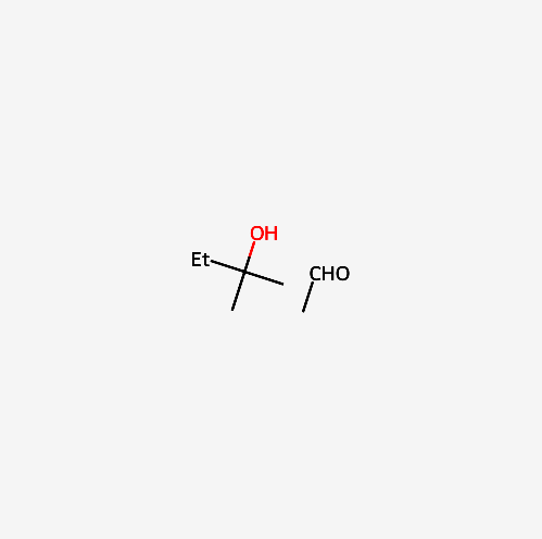 CC=O.CCC(C)(C)O